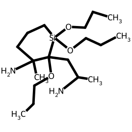 CCCOC1(CC(C)N)C(C)(N)CCC[Si]1(OCCC)OCCC